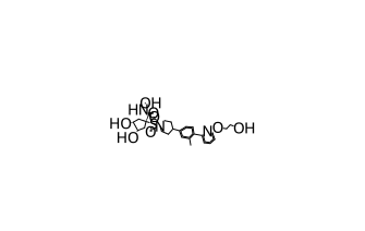 Cc1cc(C2CCN(S(=O)(=O)[C@@]3(C(=O)NO)C[C@@H](O)[C@@H](O)C3)CC2)ccc1-c1cccc(OCCO)n1